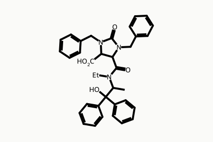 CCN(C(=O)C1C(C(=O)O)N(Cc2ccccc2)C(=O)N1Cc1ccccc1)C(C)C(O)(c1ccccc1)c1ccccc1